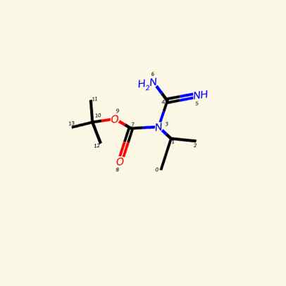 CC(C)N(C(=N)N)C(=O)OC(C)(C)C